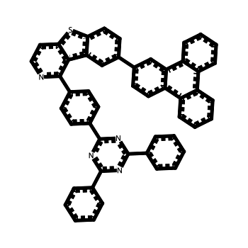 c1ccc(-c2nc(-c3ccccc3)nc(-c3ccc(-c4nccc5sc6ccc(-c7ccc8c9ccccc9c9ccccc9c8c7)cc6c45)cc3)n2)cc1